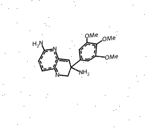 COc1cc(C2(N)C=c3nc(N)ccc3=NC2)cc(OC)c1OC